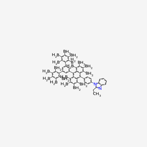 Bc1c(B)c(B)c(-c2cc(-c3c(B)c(B)c(B)c(B)c3B)cc(-c3c4c(B)c(B)c(B)c(B)c4c(-c4ccc(-n5c(CC)nc6ccccc65)cc4)c4c(B)c(B)c(B)c(B)c34)c2)c(B)c1B